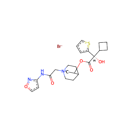 O=C(C[N+]12CCC(CC1)C(OC(=O)[C@@](O)(c1cccs1)C1CCC1)C2)Nc1ccon1.[Br-]